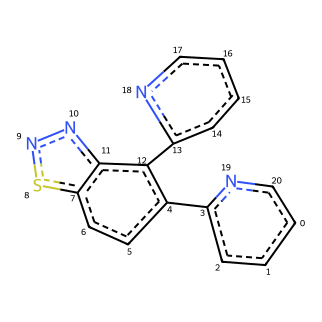 c1ccc(-c2ccc3snnc3c2-c2ccccn2)nc1